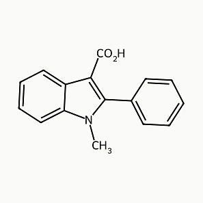 Cn1c(-c2ccccc2)c(C(=O)O)c2ccccc21